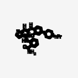 CCCN1CCN(c2ccc(Nc3nc(Nc4ccccc4C(N)=O)c4ccnc-4[nH]3)c(OC)c2)CC1